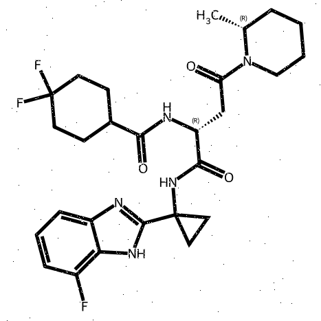 C[C@@H]1CCCCN1C(=O)C[C@@H](NC(=O)C1CCC(F)(F)CC1)C(=O)NC1(c2nc3cccc(F)c3[nH]2)CC1